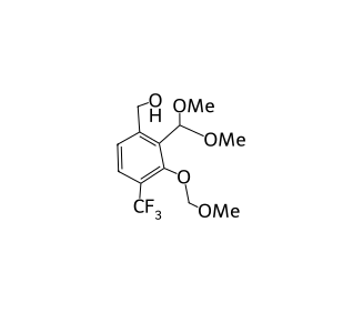 COCOc1c(C(F)(F)F)ccc(CO)c1C(OC)OC